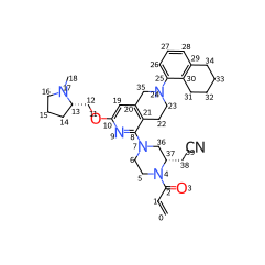 C=CC(=O)N1CCN(c2nc(OC[C@@H]3CCCN3C)cc3c2CCN(c2cccc4c2CCCC4)C3)C[C@@H]1CC#N